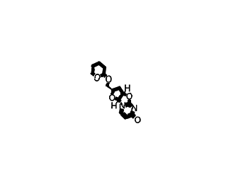 O=c1ccn2c(n1)O[C@@H]1C[C@H](COC3CCCCO3)O[C@@H]12